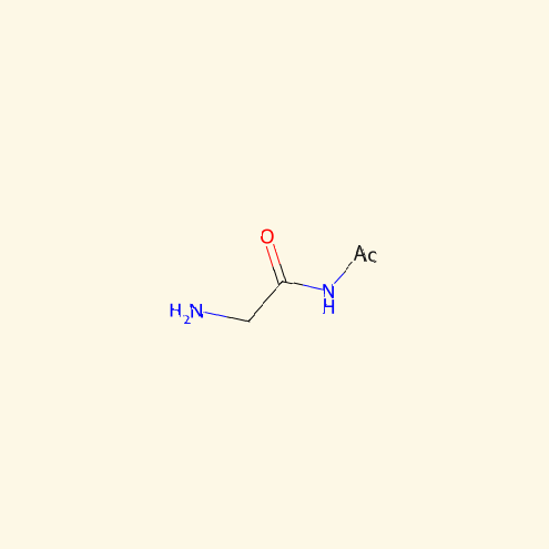 CC(=O)NC(=O)CN